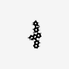 c1ccc2cc(-c3c4ccccc4c(Sc4ccc5sc6ccccc6c5c4)c4ccncc34)ccc2c1